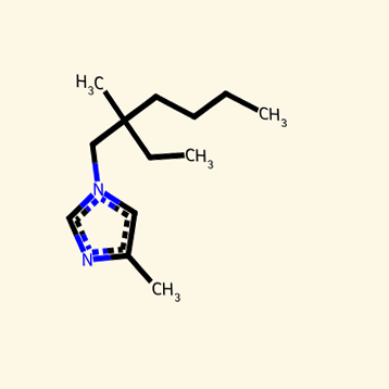 CCCCC(C)(CC)Cn1cnc(C)c1